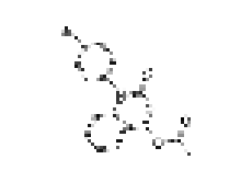 CC(=O)Oc1cc(=O)n(-c2ccc(Br)cc2)c2ccccc12